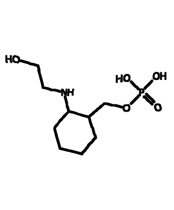 O=P(O)(O)OCC1CCCCC1NCCO